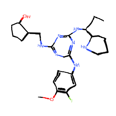 CCC(Nc1nc(NCC2CCCC2O)nc(Nc2ccc(OC)c(F)c2)n1)C1CCCN1